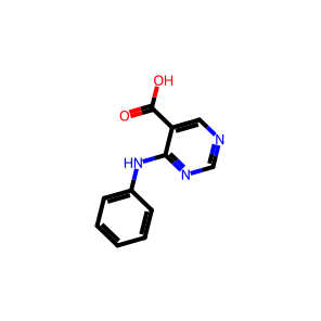 O=C(O)c1cncnc1Nc1ccccc1